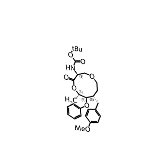 COc1ccc(C[C@H]2CCOC[C@H](NC(=O)OC(C)(C)C)C(=O)O[C@@H](C)[C@@H]2Oc2ccccc2)cc1